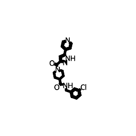 O=C(NCc1cccc(Cl)c1)C1CCN(C(=O)c2cc(-c3ccncc3)[nH]n2)CC1